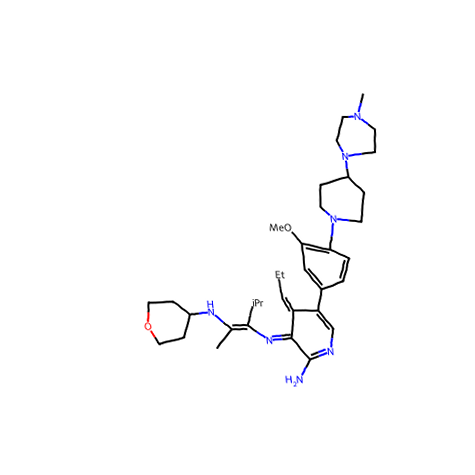 CC\C=C1/C(c2ccc(N3CCC(N4CCN(C)CC4)CC3)c(OC)c2)=CN=C(N)/C1=N/C(=C(\C)NC1CCOCC1)C(C)C